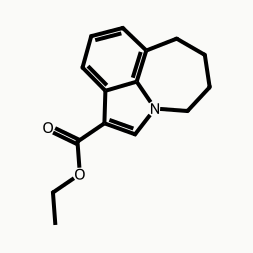 CCOC(=O)c1cn2c3c(cccc13)CCCC2